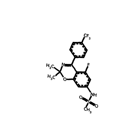 CC1(C)N=C(c2ccc(C(F)(F)F)cc2)c2c(F)cc(NS(C)(=O)=O)cc2O1